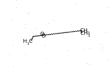 CCCC/C=C\CCCCCCCC(=O)OCCCCCCCCCCCCCCCCCCCCCCCCCCCCCCCCCC(C)CC